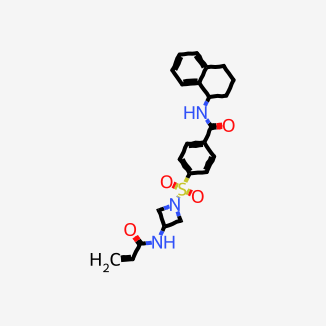 C=CC(=O)NC1CN(S(=O)(=O)c2ccc(C(=O)NC3CCCc4ccccc43)cc2)C1